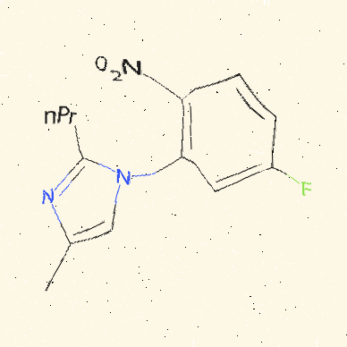 CCCc1nc(C)cn1-c1cc(F)ccc1[N+](=O)[O-]